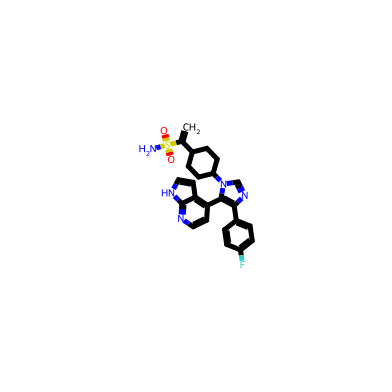 C=C(C1CCC(n2cnc(-c3ccc(F)cc3)c2-c2ccnc3[nH]ccc23)CC1)S(N)(=O)=O